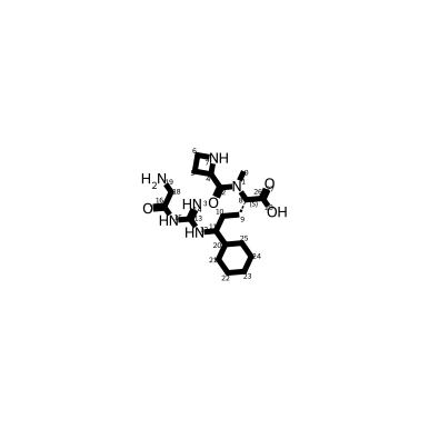 CN(C(=O)C1CCN1)[C@@H](CCC(NC(=N)NC(=O)CN)C1CCCCC1)C(=O)O